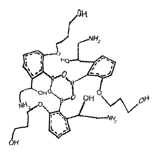 NCC(O)c1cccc(OCCCO)c1B1OB(c2c(OCCCO)cccc2C(O)CN)OB(c2c(OCCCO)cccc2C(O)CN)O1